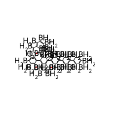 Bc1c(B)c(B)c(-c2c(B)c(B)c(-c3c(B)c(B)c(-c4c5c(B)c(B)c(B)c(B)c5c(-c5c(B)c(B)c(B)c6oc7c(B)c8c(B)c(B)c(B)c(B)c8c(B)c7c56)c5c(B)c(B)c(B)c(B)c45)c(B)c3B)c(B)c2B)c(B)c1B